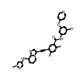 CCc1cc(NC(=O)c2cc(C#Cc3cnc4c(Nc5cnn(C)c5)cccn34)c(C)cc2F)cc(Oc2ccncc2)c1